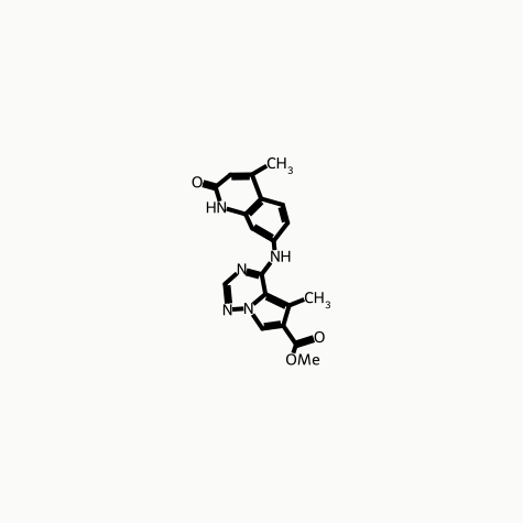 COC(=O)c1cn2ncnc(Nc3ccc4c(C)cc(=O)[nH]c4c3)c2c1C